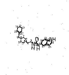 O=C(NCCN1CCC(Cc2ccccc2)CC1)Nc1ccc2[nH]ccc2c1